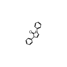 O=C1C(c2ccccc2)C=CN1c1ccccc1